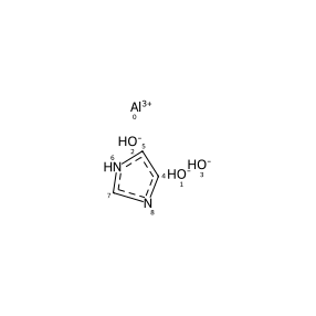 [Al+3].[OH-].[OH-].[OH-].c1c[nH]cn1